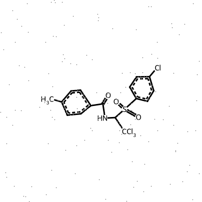 Cc1ccc(C(=O)NC(C(Cl)(Cl)Cl)S(=O)(=O)c2ccc(Cl)cc2)cc1